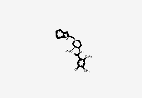 COc1cc(N)c(Cl)cc1C(=O)N[C@@H]1CCN(Cc2cc3ccccc3o2)C[C@@H]1OC